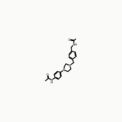 CC(=O)NCc1ccc(CN2CCN(c3ccc(NC(C)=O)cc3)CC2)cc1